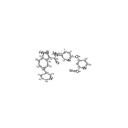 COc1cc(Oc2ccc(NC(=O)c3n[nH]c4ccc(-c5cccnc5)cc34)cn2)ccn1